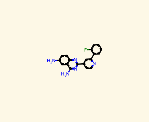 Nc1ccc2nc(-c3ccnc(-c4ccccc4F)c3)nc(N)c2c1